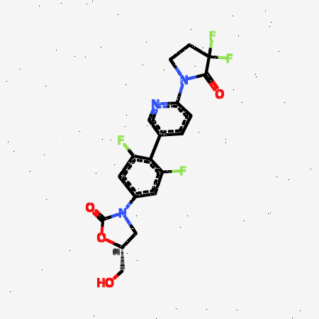 O=C1O[C@@H](CO)CN1c1cc(F)c(-c2ccc(N3CCC(F)(F)C3=O)nc2)c(F)c1